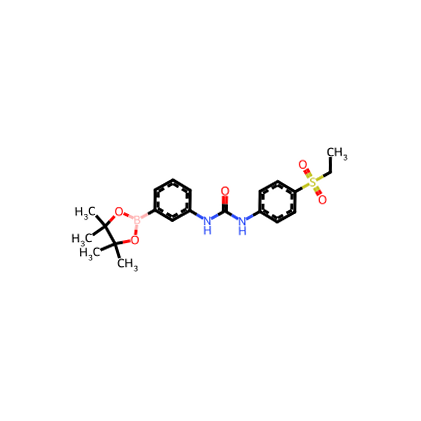 CCS(=O)(=O)c1ccc(NC(=O)Nc2cccc(B3OC(C)(C)C(C)(C)O3)c2)cc1